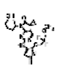 COCC(F)(F)COc1n[nH]cc1Nc1ncc2c(n1)N([C@@H]1CCC[C@@H](O)C1)C(=O)C21CC1